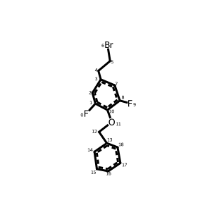 Fc1cc(CCBr)cc(F)c1OCc1ccccc1